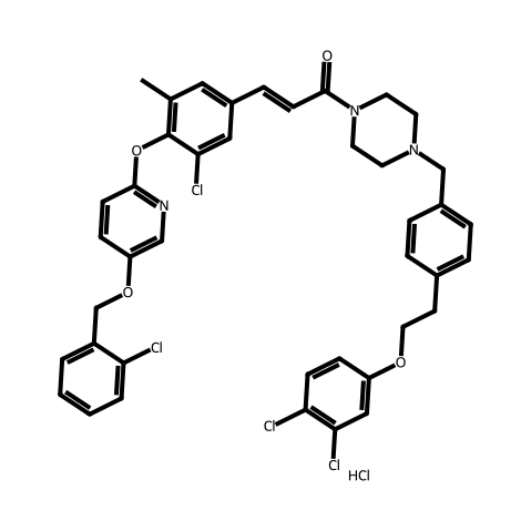 Cc1cc(C=CC(=O)N2CCN(Cc3ccc(CCOc4ccc(Cl)c(Cl)c4)cc3)CC2)cc(Cl)c1Oc1ccc(OCc2ccccc2Cl)cn1.Cl